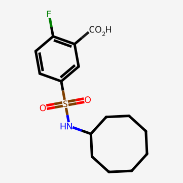 O=C(O)c1cc(S(=O)(=O)NC2CCCCCCC2)ccc1F